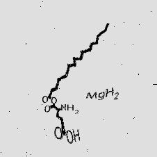 CCCCCCCCCCCCCCCC(=O)OC(=O)C(N)CCC(=O)O.[MgH2]